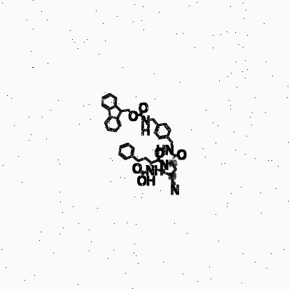 N#C[C@@H]1C[C@@H](C(=O)NCc2ccc(CNC(=O)OCC3c4ccccc4-c4ccccc43)cc2)N(C(=O)C(CCc2ccccc2)NC(=O)O)C1